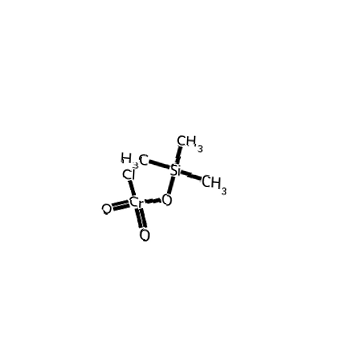 C[Si](C)(C)[O][Cr](=[O])(=[O])[Cl]